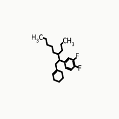 CCCCCC(CCC)C(CC1=CCCCC1)c1ccc(F)c(F)c1